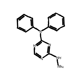 CCCCNc1ncnc(N(c2ccccc2)c2ccccc2)n1